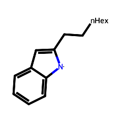 CCCCCCCCC1=Cc2ccccc2[N]1